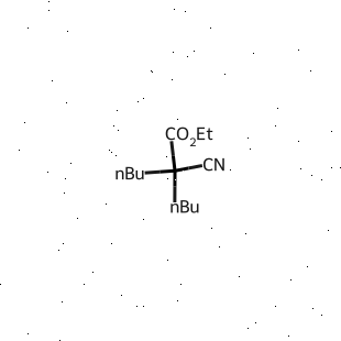 CCCCC(C#N)(CCCC)C(=O)OCC